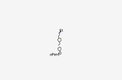 CC/C=C/CCC1CCC(CC[C@H]2CC[C@H](OCCCCC)CC2)CC1